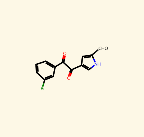 O=Cc1cc(C(=O)C(=O)c2cccc(Br)c2)c[nH]1